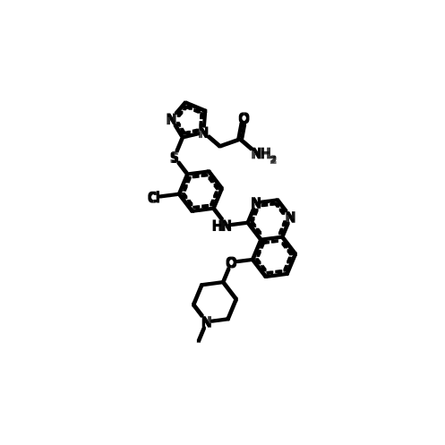 CN1CCC(Oc2cccc3ncnc(Nc4ccc(Sc5nccn5CC(N)=O)c(Cl)c4)c23)CC1